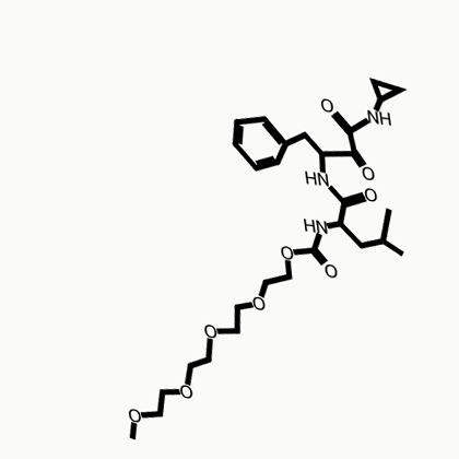 COCCOCCOCCOCCOC(=O)NC(CC(C)C)C(=O)NC(Cc1ccccc1)C(=O)C(=O)NC1CC1